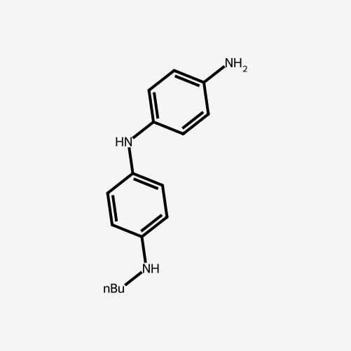 CCCCNc1ccc(Nc2ccc(N)cc2)cc1